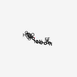 O=C1CCN(N2C(=O)c3ccc(CN4CCN(c5ccc(-c6ccc7c8cnccc8n(C(F)F)c7c6)cn5)CC4)cc3C2=O)C(=O)N1